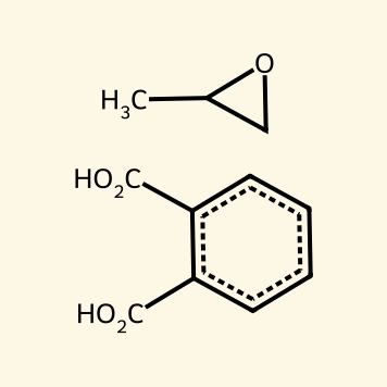 CC1CO1.O=C(O)c1ccccc1C(=O)O